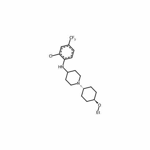 CCO[C@H]1CC[C@H](N2CCC(Nc3ccc(C(F)(F)F)cc3Cl)CC2)CC1